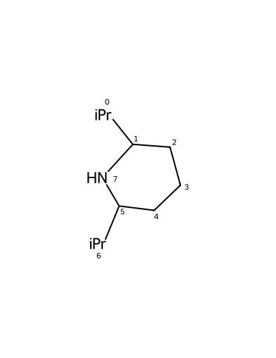 CC(C)C1CCCC(C(C)C)N1